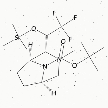 CN1C[C@H]2CC[C@@H]([C@@H]1C(O[Si](C)(C)C)C(F)(F)F)N2C(=O)OC(C)(C)C